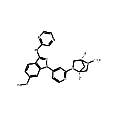 CC(C)Oc1ccc2c(Nc3cnccn3)nn(-c3ccnc(N4C[C@@H]5C[C@H]4CN5C(=O)O)c3)c2c1